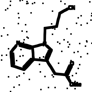 COC(=O)Cc1cn(CCCC#N)c2ncccc12